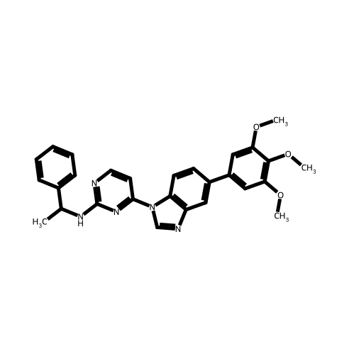 COc1cc(-c2ccc3c(c2)ncn3-c2ccnc(NC(C)c3ccccc3)n2)cc(OC)c1OC